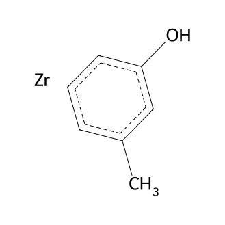 Cc1cccc(O)c1.[Zr]